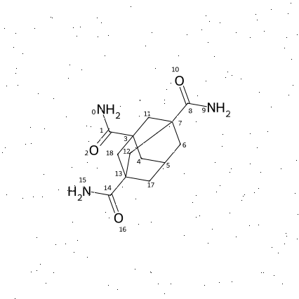 NC(=O)C12CC3CC(C(N)=O)(C1)CC(C(N)=O)(C3)C2